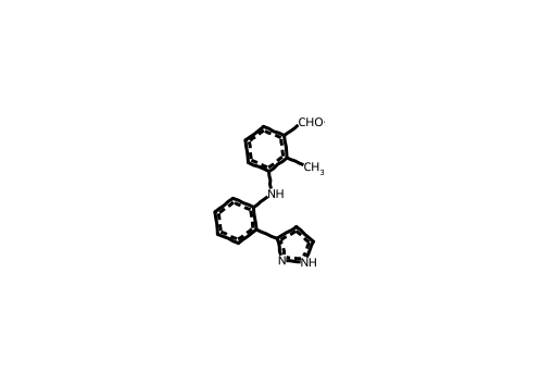 Cc1c([C]=O)cccc1Nc1ccccc1-c1cc[nH]n1